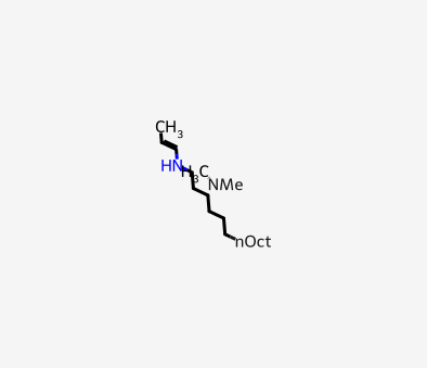 CC=CNCCCCCCCCCCCCCC.CNC